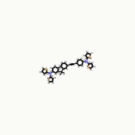 CC1(C)c2cc(C#Cc3ccc(N(c4cccs4)c4cccs4)cc3)ccc2-c2ccc(N(c3cccs3)c3cccs3)cc21